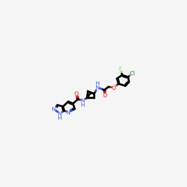 O=C(COc1ccc(Cl)c(F)c1)NC12CC(NC(=O)c3cnc4[nH]ncc4c3)(C1)C2